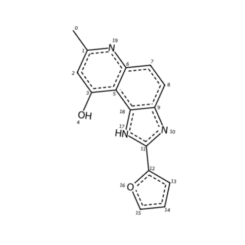 Cc1cc(O)c2c(ccc3nc(-c4ccco4)[nH]c32)n1